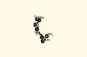 CC(C)(C)[Si](C)(C)O[C@H](CNCc1ccc2oc(=O)n(CCCc3ccc(-c4ccccc4)c(N(C(=O)O)C4CCC(N)CC4)c3)c2c1)c1ccc(O)c2[nH]c(=O)ccc12